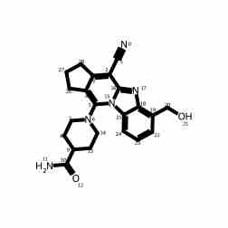 N#Cc1c2c(c(N3CCC(C(N)=O)CC3)n3c1nc1c(CO)cccc13)CCC2